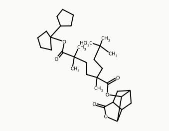 CC(C)(CCC(C)(CCC(C)(C)C(=O)OC1(C2CCCC2)CCCC1)C(=O)OC1C2CC3C(=O)OC1C3C2)C(=O)O